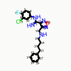 N=C(Nc1ccc(F)c(Cl)c1)c1nonc1CNCCCCc1ccccc1